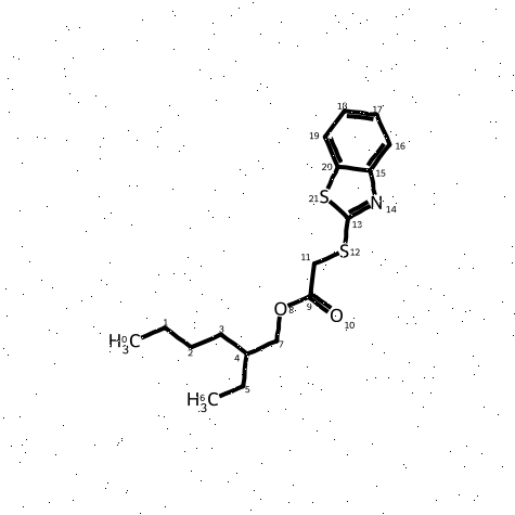 CCCCC(CC)COC(=O)CSc1nc2ccccc2s1